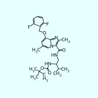 Cc1cc(OCc2c(F)cccc2F)c2nc(C)c(C(=O)NCC(NC(=O)OC(C)(C)C)C(C)C)n2c1